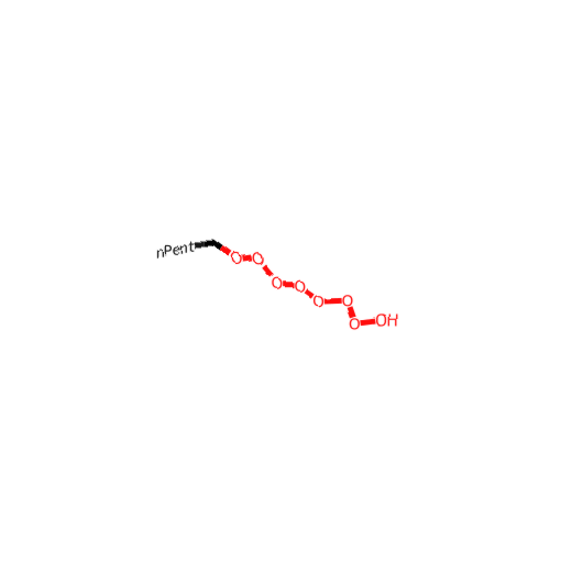 CCCCCCOOOOOOOO